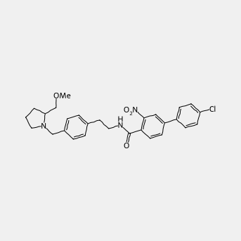 COCC1CCCN1Cc1ccc(CCNC(=O)c2ccc(-c3ccc(Cl)cc3)cc2[N+](=O)[O-])cc1